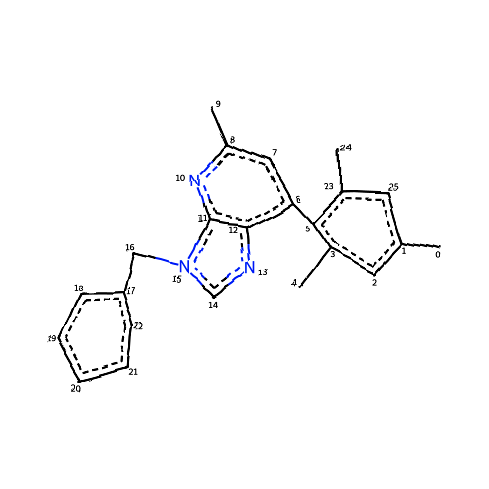 Cc1cc(C)c(-c2cc(C)nc3c2ncn3Cc2ccccc2)c(C)c1